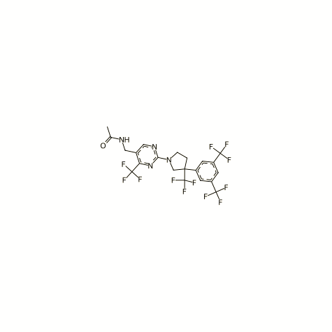 CC(=O)NCc1cnc(N2CCC(c3cc(C(F)(F)F)cc(C(F)(F)F)c3)(C(F)(F)F)C2)nc1C(F)(F)F